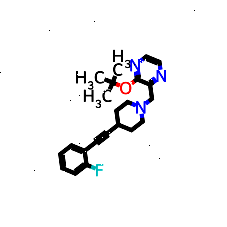 CC(C)(C)Oc1nccnc1CN1CCC(C#Cc2ccccc2F)CC1